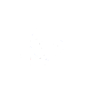 CN(C)c1ccc(CN2CC[C@@H](N(C(=O)OC(C)(C)C)c3ccc(/C=C/C(=O)O)cn3)C2)cc1